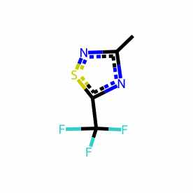 Cc1nsc(C(F)(F)F)n1